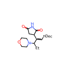 CCCCCCCCCCC=C(C1CC(=O)NC1=O)C(CC)N1CCOCC1